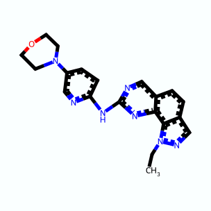 CCn1ncc2ccc3cnc(Nc4ccc(N5CCOCC5)cn4)nc3c21